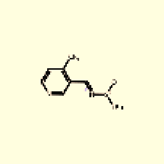 CC(C)(C)[S+]([O-])/N=C/c1cnccc1C(F)(F)F